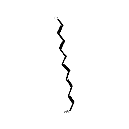 [CH2]C/C=C/C=C/C/C=C/C=C/C=C/CCCC